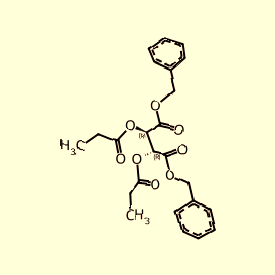 CCC(=O)O[C@@H](C(=O)OCc1ccccc1)[C@@H](OC(=O)CC)C(=O)OCc1ccccc1